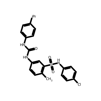 Cc1ccc(NC(=O)Nc2ccc(C(C)C)cc2)cc1S(=O)(=O)Nc1ccc(Cl)cc1